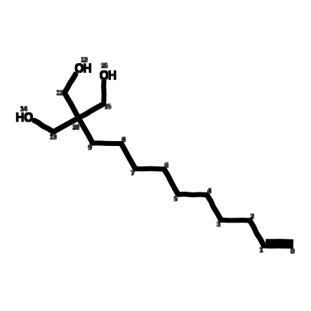 C=CCCCCCCCCC(CO)(CO)CO